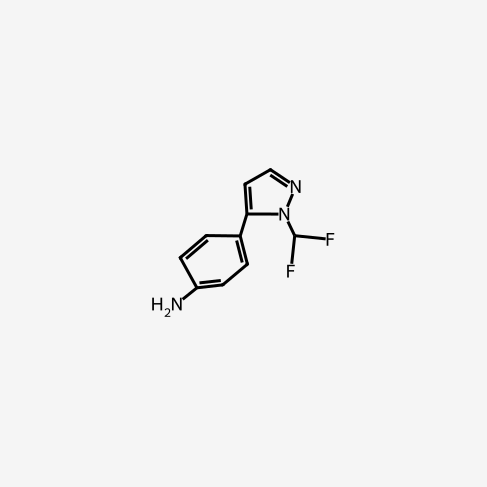 Nc1ccc(-c2ccnn2C(F)F)cc1